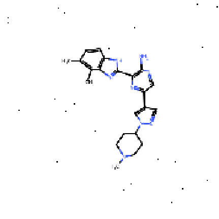 Cc1ccc2[nH]c(-c3nc(-c4cnn(C5CCN(C)CC5)c4)cnc3N)nc2c1C